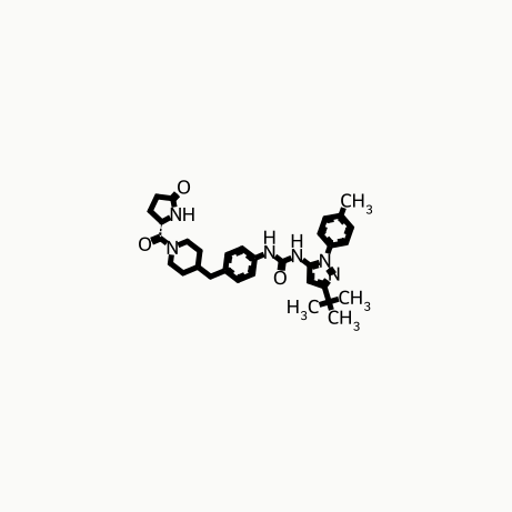 Cc1ccc(-n2nc(C(C)(C)C)cc2NC(=O)Nc2ccc(CC3CCN(C(=O)[C@@H]4CCC(=O)N4)CC3)cc2)cc1